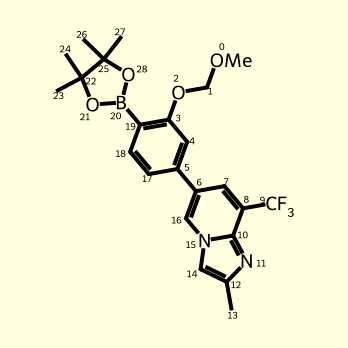 COCOc1cc(-c2cc(C(F)(F)F)c3nc(C)cn3c2)ccc1B1OC(C)(C)C(C)(C)O1